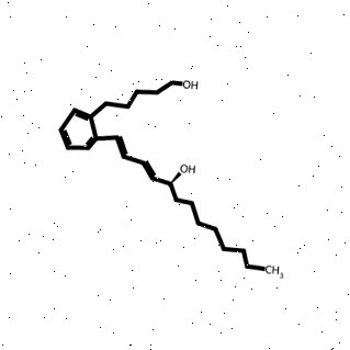 CCCCCCCC[C@H](O)/C=C/C=C/c1ccccc1CCCCCO